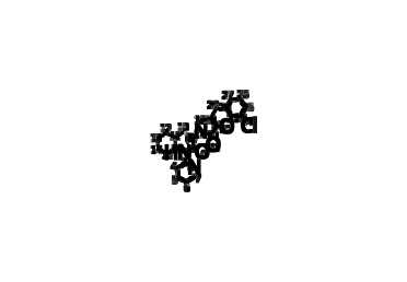 O=C(Nc1ccccn1)[C@H](CC1CCCCC1)N1CC2=C(Oc3c(Cl)cccc3C2)C1=O